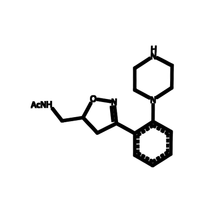 CC(=O)NCC1CC(c2ccccc2N2CCNCC2)=NO1